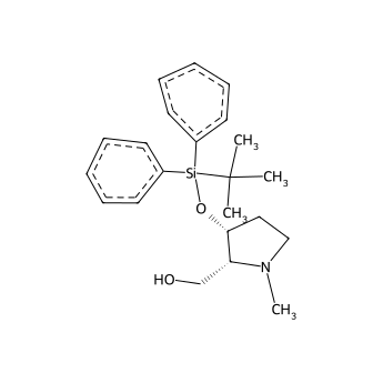 CN1CC[C@@H](O[Si](c2ccccc2)(c2ccccc2)C(C)(C)C)[C@H]1CO